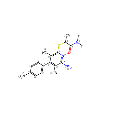 CN(C)C(=O)C(C#N)Sc1nc(N)c(C#N)c(-c2ccc([N+](=O)[O-])cc2)c1C#N